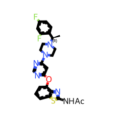 CC(=O)Nc1nc2c(Oc3cc(N4CCN([C@H](C)c5ccc(F)cc5F)CC4)ncn3)cccc2s1